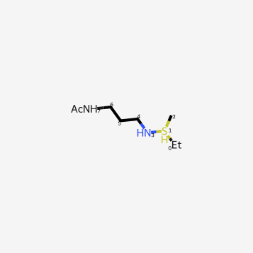 CC[SH](C)NCCCNC(C)=O